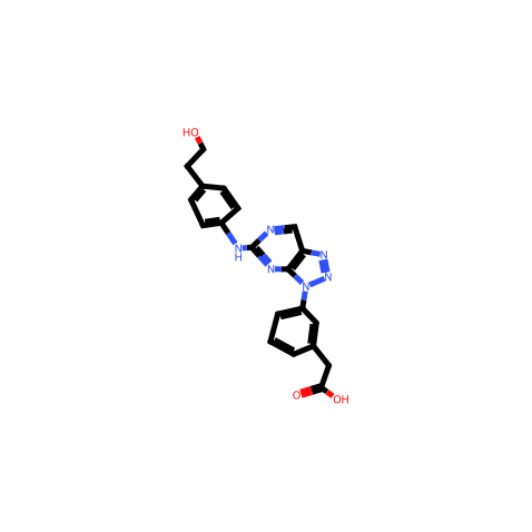 O=C(O)Cc1cccc(-n2nnc3cnc(Nc4ccc(CCO)cc4)nc32)c1